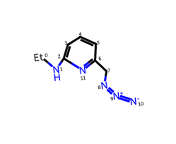 CCNc1cccc(CN=[N+]=[N-])n1